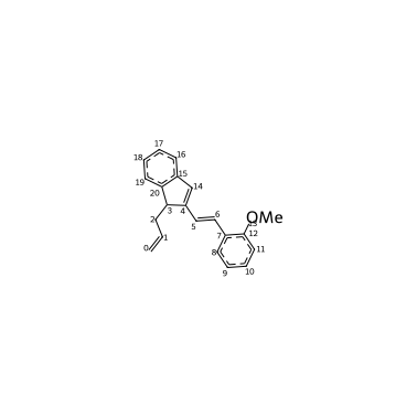 C=CCC1C(/C=C/c2ccccc2OC)=Cc2ccccc21